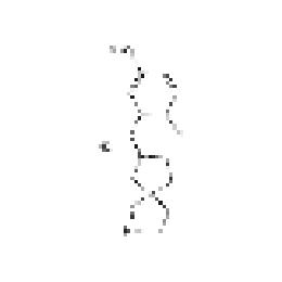 COc1ccc(Cl)c(CN2CCC3(CCNC3)C2)c1.Cl